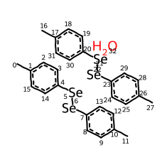 Cc1ccc([Se][Se]c2ccc(C)cc2)cc1.Cc1ccc([Se][Se]c2ccc(C)cc2)cc1.O